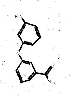 NC(=O)c1cccc(Oc2cccc(N)c2)c1